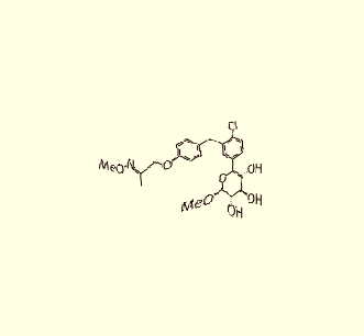 CO/N=C(\C)COc1ccc(Cc2cc(C3O[C@H](OC)[C@@H](O)[C@H](O)[C@H]3O)ccc2Cl)cc1